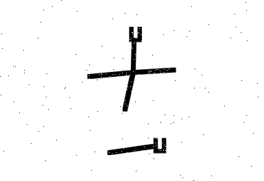 [Li][CH3].[Li][C](C)(C)C